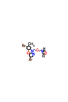 Cc1cc2c(cc1Br)Oc1cc(Br)cnc1N2CCOCCN1C[C@@H]2C[C@H]1CO2